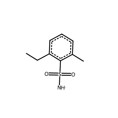 CCc1cccc(C)c1S([NH])(=O)=O